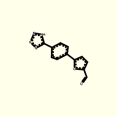 O=Cc1ccc(-c2ccc(-c3nnn[nH]3)cc2)o1